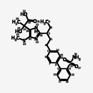 CCC(CCc1ccc(-c2ccccc2S(N)(=O)=O)cc1)c1nc(SC)c(C(C)(O)C(=O)O)[nH]1